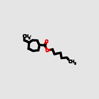 [CH2]CC1CCCC(C(=O)OCCCCCC)CC1